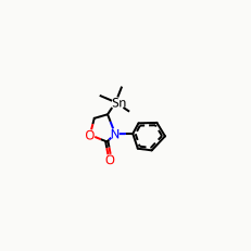 [CH3][Sn]([CH3])([CH3])[CH]1COC(=O)N1c1ccccc1